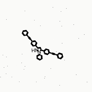 C(#Cc1ccc(C2=CC(c3ccc(C#Cc4ccccc4)cc3)N(c3ccccc3)N2)cc1)c1ccccc1